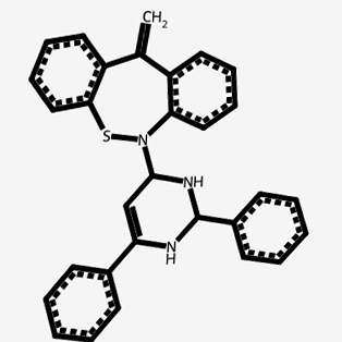 C=C1c2ccccc2SN(C2C=C(c3ccccc3)NC(c3ccccc3)N2)c2ccccc21